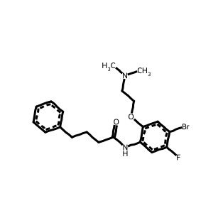 CN(C)CCOc1cc(Br)c(F)cc1NC(=O)CCCc1ccccc1